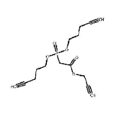 C#CCCCOP(=O)(CC(=O)OCC#C)OCCCC#C